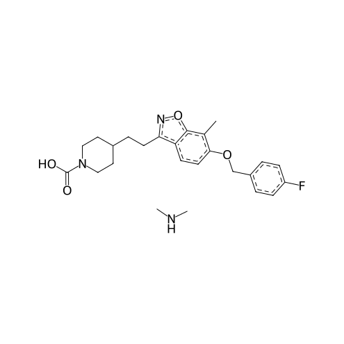 CNC.Cc1c(OCc2ccc(F)cc2)ccc2c(CCC3CCN(C(=O)O)CC3)noc12